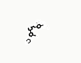 COc1cc(C(C)=O)ccc1-c1cc2nccc(-c3ccc(OC4CCOCC4)c(C#N)c3)c2o1